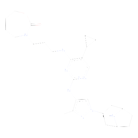 Cc1nn(C2CC3CCC(C2)N3C)cc1Nc1ncc(C2CC2)c(NCCCN2CCCCOC2=O)n1